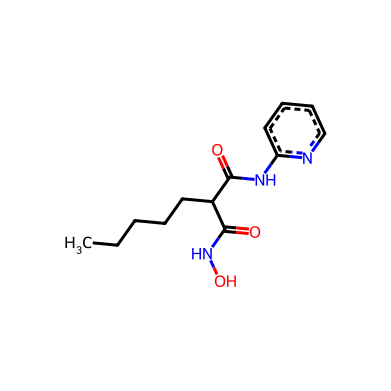 CCCCCC(C(=O)NO)C(=O)Nc1ccccn1